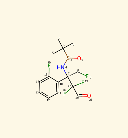 CC(C)(C)[S+]([O-])N[C@](CF)(c1ccccc1F)C(F)(F)C=O